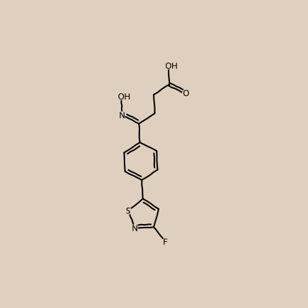 O=C(O)CCC(=NO)c1ccc(-c2cc(F)ns2)cc1